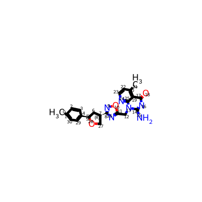 Cc1ccc([C@H]2C[C@H](c3noc(Cn4c(N)nc(=O)c5c(C)ccnc54)n3)CO2)cc1